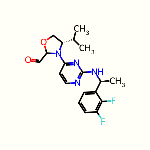 CC(C)[C@H]1COC(C=O)N1c1ccnc(N[C@@H](C)c2cccc(F)c2F)n1